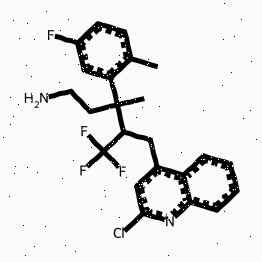 Cc1ccc(F)cc1C(C)(CCN)C(Cc1cc(Cl)nc2ccccc12)C(F)(F)F